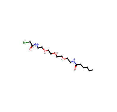 CCCCCC(=O)NCCOCCOCCOCCNC(=O)CBr